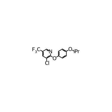 [CH2]C(C)Oc1ccc(Oc2ncc(C(F)(F)F)cc2Cl)cc1